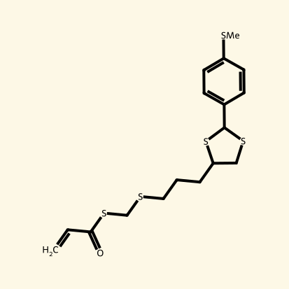 C=CC(=O)SCSCCCC1CSC(c2ccc(SC)cc2)S1